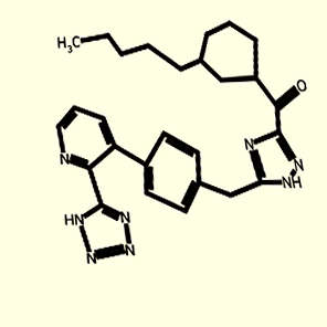 CCCCCC1CCCC(C(=O)c2n[nH]c(Cc3ccc(-c4cccnc4-c4nnn[nH]4)cc3)n2)C1